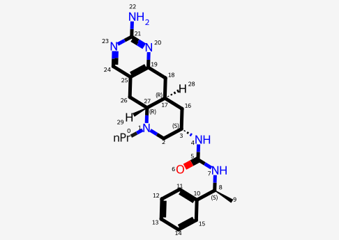 CCCN1C[C@@H](NC(=O)N[C@@H](C)c2ccccc2)C[C@@H]2Cc3nc(N)ncc3C[C@H]21